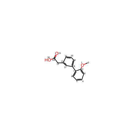 COc1ccccc1-c1cccc(CC(=O)O)c1